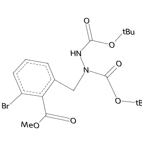 COC(=O)c1c(Br)cccc1CN(NC(=O)OC(C)(C)C)C(=O)OC(C)(C)C